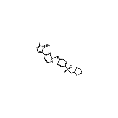 Cc1ncc(-c2ccnc(Nc3ccc(S(=O)(=O)CC4CCCO4)cc3)n2)n1C(C)C